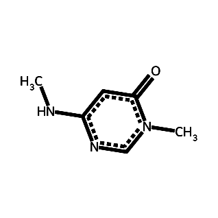 CNc1cc(=O)n(C)cn1